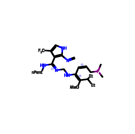 C=Nc1[nH]cc(C(F)(F)F)c1/C(=N\CNC(/C=C\CP(C)C)=C(\OC)C(CC)CC)NCCCCC